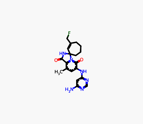 Cc1cc(Nc2cc(N)ncn2)c(=O)n2c1C(=O)NC21C=C(CF)CCCC1